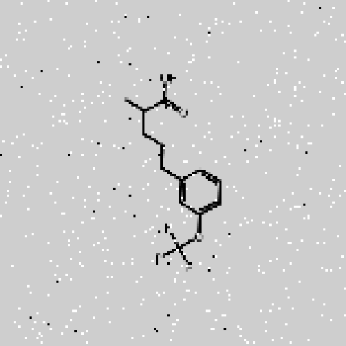 CC(CCCc1cccc(OC(F)(F)F)c1)C(=O)O